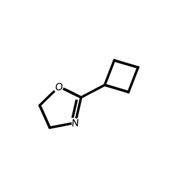 C1CC(C2=NCCO2)C1